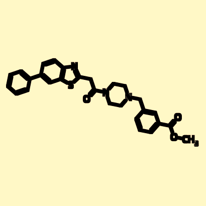 COC(=O)c1cccc(CN2CCN(C(=O)Cc3nc4ccc(-c5ccccc5)cc4s3)CC2)c1